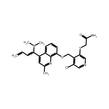 C=C/C=C(/c1cc(C)nc2c(OCc3c(Cl)cncc3SCC(N)=O)cccc12)N(C)C